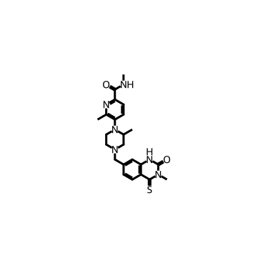 CNC(=O)c1ccc(N2CCN(Cc3ccc4c(=S)n(C)c(=O)[nH]c4c3)CC2C)c(C)n1